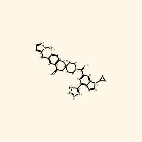 Cn1nccc1Nc1ccc2c(c1)C(=O)CC1(CCN(C(=O)c3cc(-c4nnn[nH]4)c4ccn(C5CC5)c4c3)CC1)O2